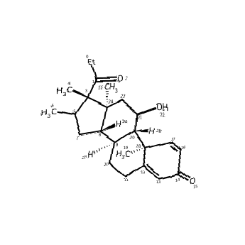 CCC(=O)C1(C)C(C)C[C@H]2[C@@H]3CCC4=CC(=O)C=C[C@]4(C)[C@H]3C(O)C[C@@]21C